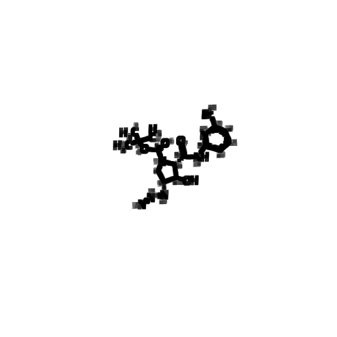 CC(C)(C)OC(=O)N1C[C@@H](N=[N+]=[N-])[C@H](O)[C@H]1C(=O)Nc1cccc(Br)n1